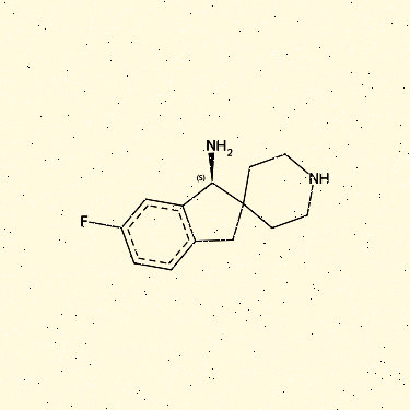 N[C@@H]1c2cc(F)ccc2CC12CCNCC2